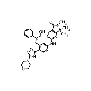 CN1C(=O)c2cnc(Nc3cc(N[C@H](CO)c4ccccc4)c(-c4nc(N5CCOCC5)no4)cn3)nc2C1(C)C